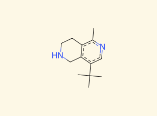 Cc1ncc(C(C)(C)C)c2c1CCNC2